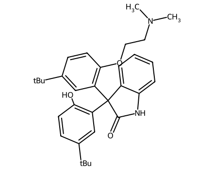 CN(C)CCOc1ccc(C(C)(C)C)cc1C1(c2cc(C(C)(C)C)ccc2O)C(=O)Nc2ccccc21